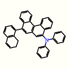 C1=Cc2cccc(-c3cc4cc(N(c5ccccc5)c5ccccc5)c5ccccc5c4c4ccccc34)c2CC1